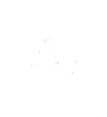 CC(C)C(=O)O.CCC(O)C(C)(C)CO